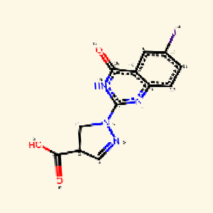 O=C(O)C1C=NN(c2nc3ccc(I)cc3c(=O)[nH]2)C1